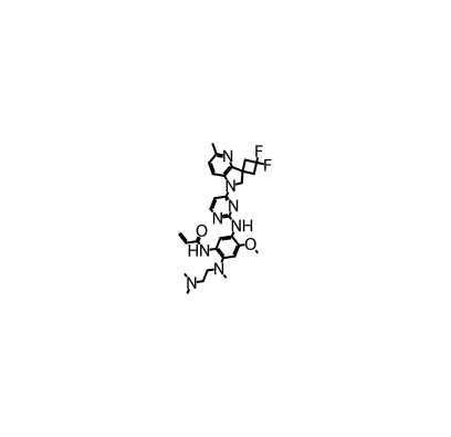 C=CC(=O)Nc1cc(Nc2nccc(N3CC4(CC(F)(F)C4)c4nc(C)ccc43)n2)c(OC)cc1N(C)CCN(C)C